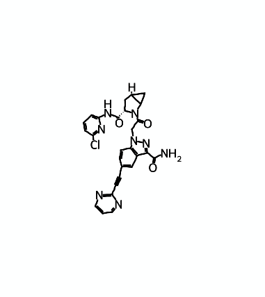 NC(=O)c1nn(CC(=O)N2C3C[C@@H]3C[C@H]2C(=O)Nc2cccc(Cl)n2)c2ccc(C#Cc3ncccn3)cc12